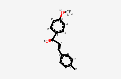 Cc1ccc(C=CC(=O)c2ccc(OC(F)(F)F)cc2)cc1